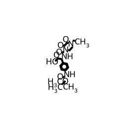 CCN1CCN(C(=O)NC(C(=O)O)c2ccc(NC(=O)OC(C)(C)C)cc2)C(=O)C1=O